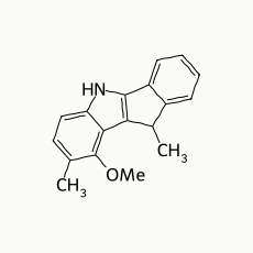 COc1c(C)ccc2[nH]c3c(c12)C(C)c1ccccc1-3